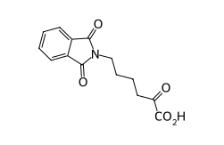 O=C(O)C(=O)CCCCN1C(=O)c2ccccc2C1=O